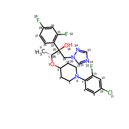 C[C@@H](OC1CCN(c2ccc(Cl)cc2F)CC1)[C@@](O)(Cn1cncn1)c1ccc(F)cc1F